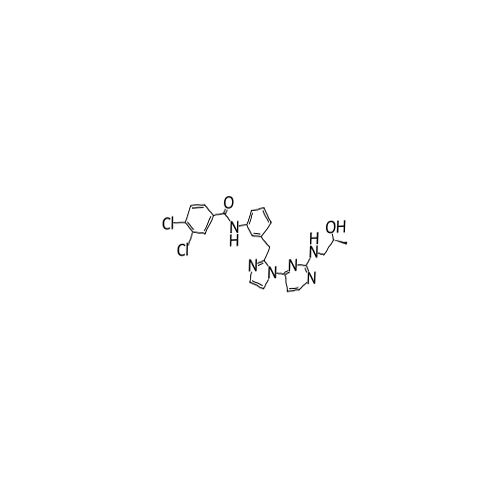 C[C@H](O)CNc1nccc(-n2ccnc2Cc2cccc(NC(=O)c3ccc(Cl)c(Cl)c3)c2)n1